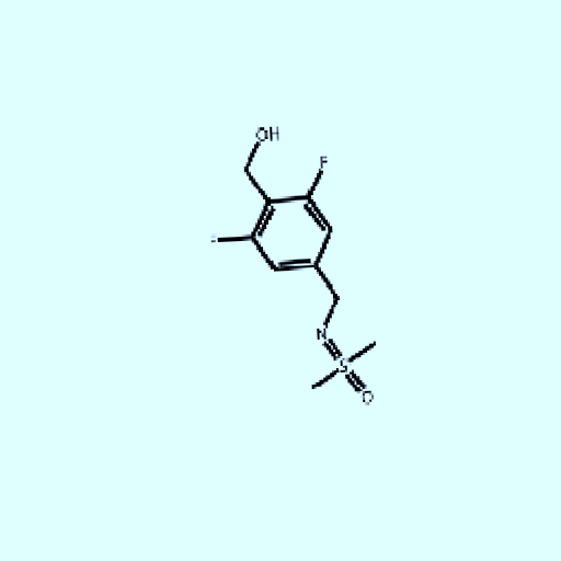 CS(C)(=O)=NCc1cc(F)c(CO)c(F)c1